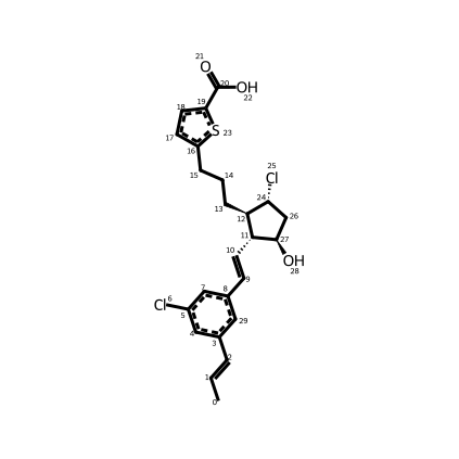 C/C=C/c1cc(Cl)cc(/C=C/[C@@H]2[C@@H](CCCc3ccc(C(=O)O)s3)[C@H](Cl)C[C@H]2O)c1